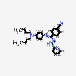 CCCCN(CCCC)c1ccc(/N=N/C(=N\Nc2ccccn2)c2ccc(C#N)cc2)cc1